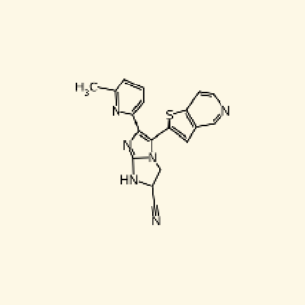 Cc1cccc(-c2nc3n(c2-c2cc4cnccc4s2)CC(C#N)N3)n1